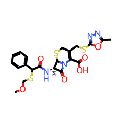 COCSC(C(=O)N[C@H]1C(=O)N2C(C(=O)O)=C(CSc3nnc(C)o3)CSC12)c1ccccc1